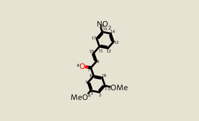 COc1cc(OC)cc(C(=O)/C=C/c2cccc([N+](=O)[O-])c2)c1